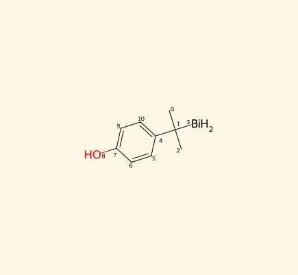 C[C](C)([BiH2])c1ccc(O)cc1